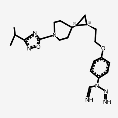 CC(C)c1noc(N2CCC([C@H]3C[C@H]3CCOc3ccc(N(C=N)N=N)cc3)CC2)n1